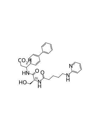 O=C(O)CC(NC(=O)[C@H](CO)NC(=O)CCCCNc1ccccn1)c1ccc(-c2ccccc2)cc1